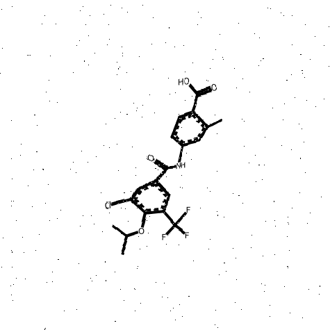 Cc1cc(NC(=O)c2cc(Cl)c(OC(C)C)c(C(F)(F)F)c2)ccc1C(=O)O